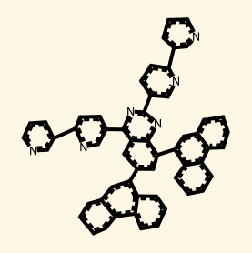 c1cncc(-c2ccc(-c3nc(-c4ccc(-c5cccnc5)nc4)c4cc(-c5cc6ccccc6c6ccccc56)cc(-c5cc6ccccc6c6ccccc56)c4n3)cn2)c1